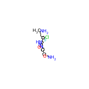 C[C@H](N)CCCc1cc(Cl)c(F)c(-c2cc3cn(-c4ccc([C@@H]5CCO[C@@H](CCN)C5)cc4)c(=O)nc3[nH]2)c1